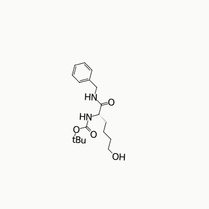 CC(C)(C)OC(=O)N[C@@H](CCCCO)C(=O)NCc1ccccc1